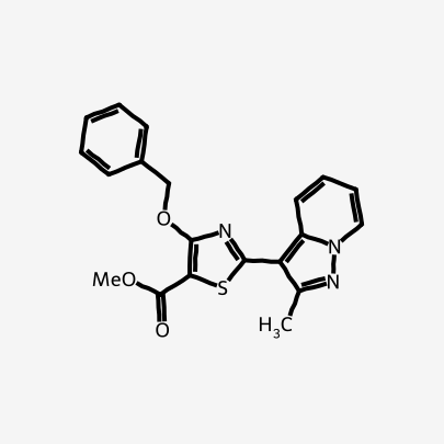 COC(=O)c1sc(-c2c(C)nn3ccccc23)nc1OCc1ccccc1